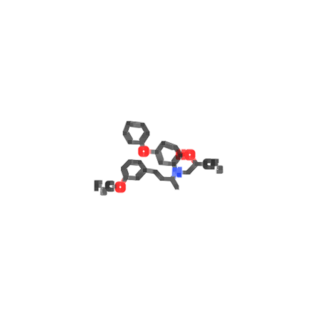 CC(CCc1cccc(OC(F)(F)F)c1)N(CC(O)C(F)(F)F)c1cccc(Oc2ccccc2)c1